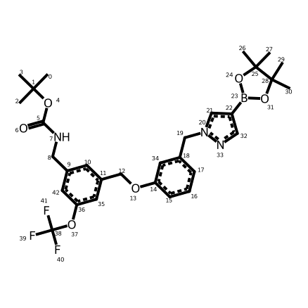 CC(C)(C)OC(=O)NCc1cc(COc2cccc(Cn3cc(B4OC(C)(C)C(C)(C)O4)cn3)c2)cc(OC(F)(F)F)c1